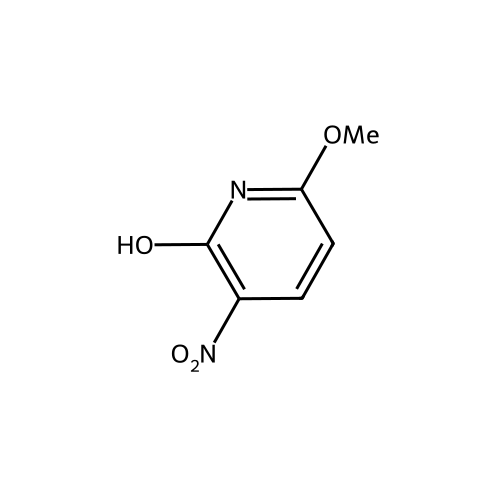 COc1ccc([N+](=O)[O-])c(O)n1